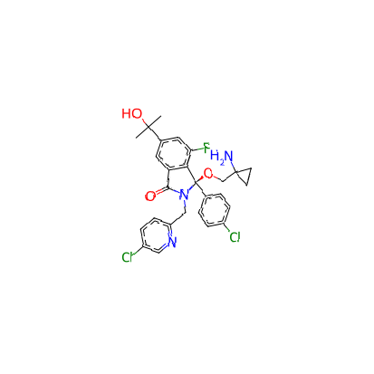 CC(C)(O)c1cc(F)c2c(c1)C(=O)N(Cc1ccc(Cl)cn1)[C@@]2(OCC1(N)CC1)c1ccc(Cl)cc1